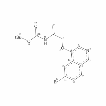 C[C@H](COc1cncc2ccc(Br)cc12)NC(=O)OC(C)(C)C